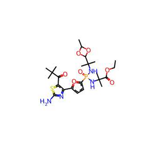 CCOC(=O)C(C)(C)NP(=O)(NC(C)(C)C1OC(C)O1)c1ccc(-c2nc(N)sc2C(=O)C(C)(C)C)o1